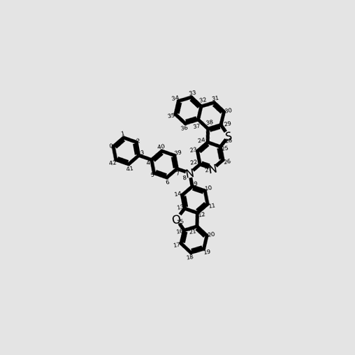 c1ccc(-c2ccc(N(c3ccc4c(c3)oc3ccccc34)c3cc4c(cn3)sc3ccc5ccccc5c34)cc2)cc1